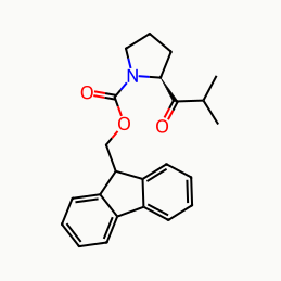 CC(C)C(=O)[C@@H]1CCCN1C(=O)OCC1c2ccccc2-c2ccccc21